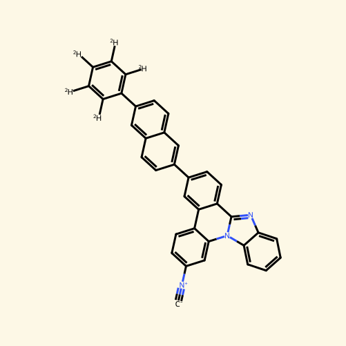 [2H]c1c([2H])c([2H])c(-c2ccc3cc(-c4ccc5c(c4)c4ccc([N+]#[C-])cc4n4c6ccccc6nc54)ccc3c2)c([2H])c1[2H]